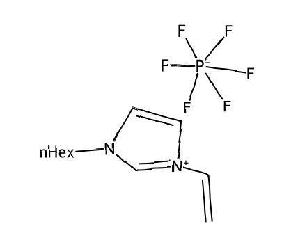 C=C[n+]1ccn(CCCCCC)c1.F[P-](F)(F)(F)(F)F